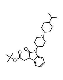 CC(C)[C@H]1CC[C@H](N2CCC(N3C(=O)C(CC(=O)OC(C)(C)C)c4ccccc43)CC2)CC1